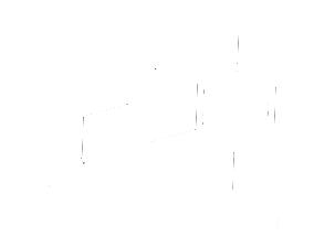 COc1ccc(C)c2c1C1OC(=O)CC1C2